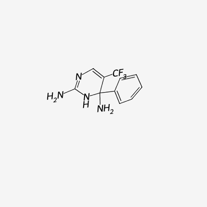 NC1=NC=C(C(F)(F)F)C(N)(c2ccccc2)N1